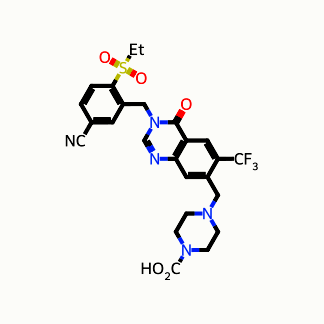 CCS(=O)(=O)c1ccc(C#N)cc1Cn1cnc2cc(CN3CCN(C(=O)O)CC3)c(C(F)(F)F)cc2c1=O